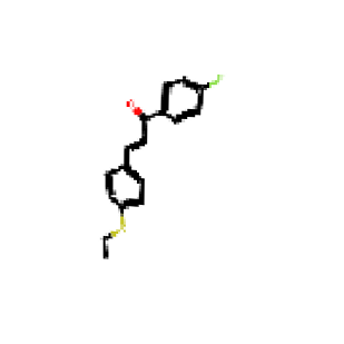 CCSc1ccc(C=CC(=O)c2ccc(F)cc2)cc1